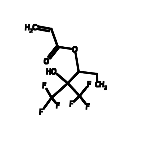 C=CC(=O)OC(CC)C(O)(C(F)(F)F)C(F)(F)F